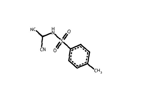 Cc1ccc(S(=O)(=O)NC(C#N)C#N)cc1